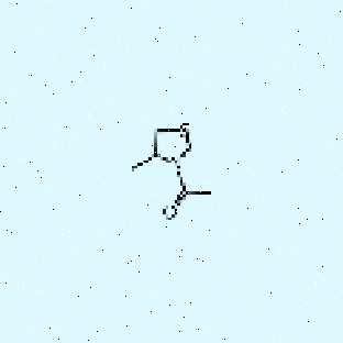 CC(=O)N1CSCC1C